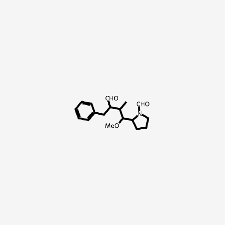 COC(C(C)C(C=O)Cc1ccccc1)C1CCCN1C=O